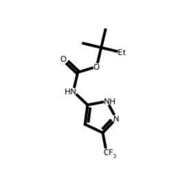 CCC(C)(C)OC(=O)Nc1cc(C(F)(F)F)n[nH]1